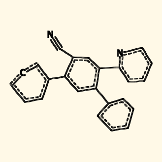 N#Cc1cc(-c2ccccn2)c(-c2ccccc2)cc1-c1ccccc1